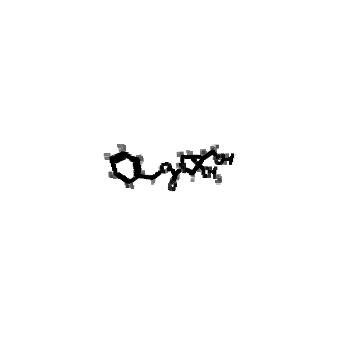 CC12CN(C(=O)OCc3ccccc3)CC1C2CO